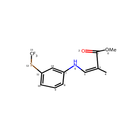 COC(=O)C(C)=CNc1cccc(SC(F)(F)F)c1